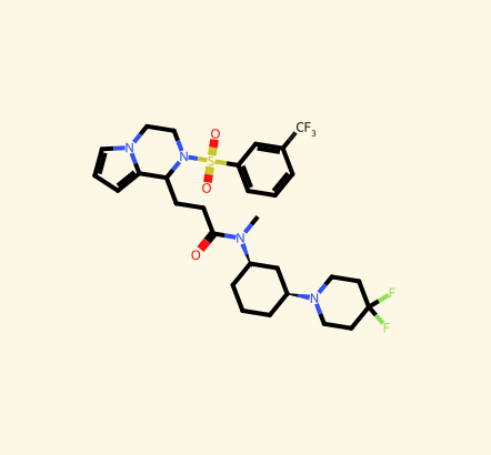 CN(C(=O)CCC1c2cccn2CCN1S(=O)(=O)c1cccc(C(F)(F)F)c1)[C@@H]1CCC[C@H](N2CCC(F)(F)CC2)C1